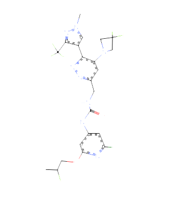 CC(F)COc1cc(NC(=O)NCc2cc(N3CC(F)(F)C3)c(-c3cn(C)nc3C(F)(F)F)nn2)cc(Cl)n1